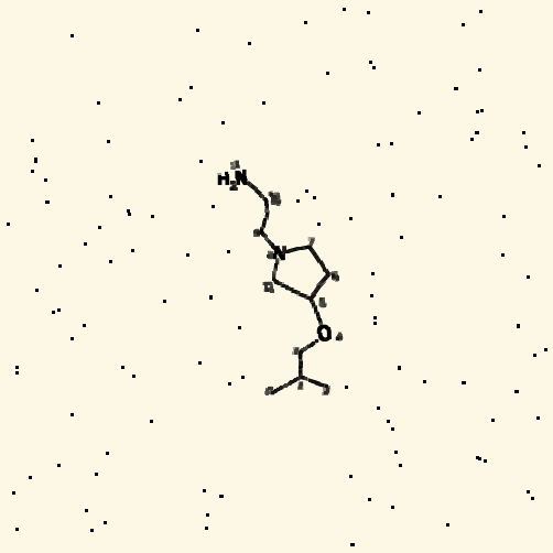 CC(C)COC1CCN(CCN)C1